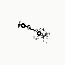 Cc1cc(OC(C)(C)C(=O)O)c(C)cc1OCCCc1nc(-c2ccc(C(F)(F)F)cc2)cs1